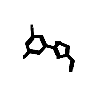 O=Cc1c[nH]c(-c2cc(F)cc(F)c2)n1